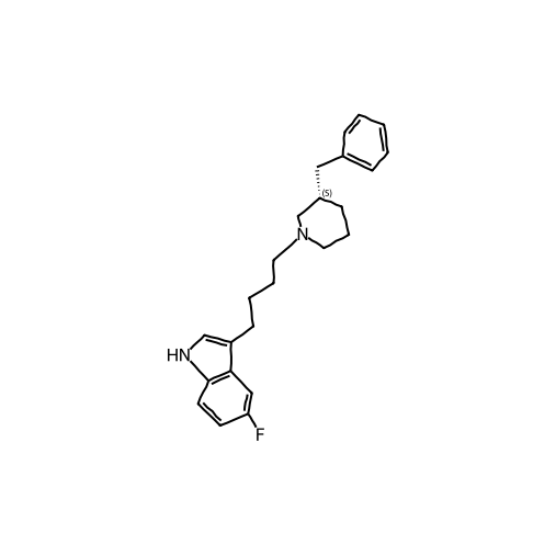 Fc1ccc2[nH]cc(CCCCN3CCC[C@@H](Cc4ccccc4)C3)c2c1